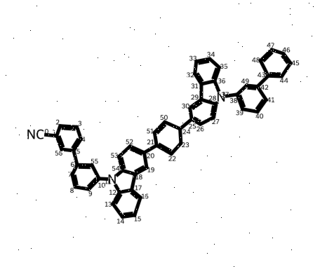 N#Cc1cccc(-c2cccc(-n3c4ccccc4c4cc(C5=CCC(c6ccc7c(c6)c6ccccc6n7-c6cccc(-c7ccccc7)c6)C=C5)ccc43)c2)c1